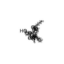 C=CCN1CC(=O)N2[C@@H](Cc3ccc(O)cc3)C(=O)N(Cc3cccc(OC)c3OS(=O)(=O)CCCCCCCC)C[C@@H]2N1C(=O)NCc1ccccc1